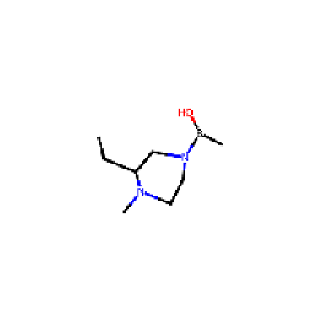 CCC1CN(B(C)O)CCN1C